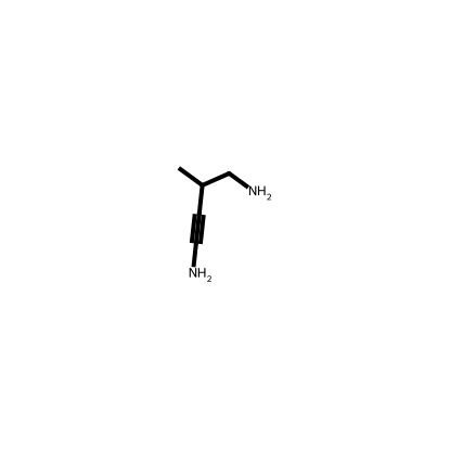 CC(C#CN)CN